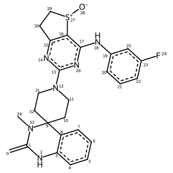 C=C1Nc2ccccc2C2(CCN(c3nc4c(c(Nc5cccc(F)c5)n3)[S+]([O-])CC4)CC2)N1C